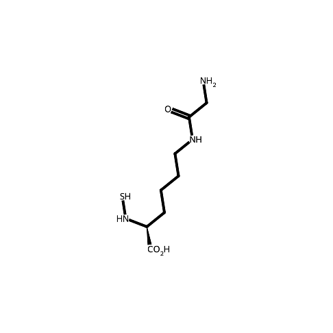 NCC(=O)NCCCC[C@H](NS)C(=O)O